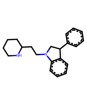 c1ccc(C2CN(CCC3CCCCN3)c3ccccc32)cc1